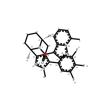 Cc1cccc2c(C(=O)N3[C@H]4CCC[C@@H]3c3nn(C)c(-c5cc(F)c(F)c(F)c5)c3C4)cnn12